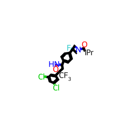 CC(C)C(=O)N1CC(F)(c2ccc(C3CC(c4cc(Cl)cc(Cl)c4)(C(F)(F)F)ON3)cc2)C1